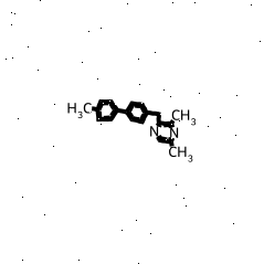 Cc1ccc(-c2ccc(Cc3ncc(C)nc3C)cc2)cc1